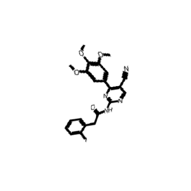 COc1cc(-c2nc(NC(=O)Cc3ccccc3I)ncc2C#N)cc(OC)c1OC